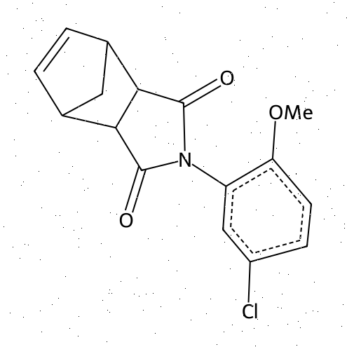 COc1ccc(Cl)cc1N1C(=O)C2C3C=CC(C3)C2C1=O